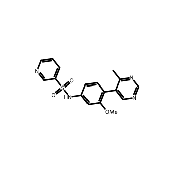 COc1cc(NS(=O)(=O)c2cccnc2)ccc1-c1cncnc1C